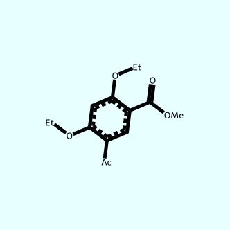 CCOc1cc(OCC)c(C(=O)OC)cc1C(C)=O